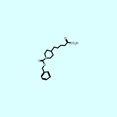 CCOC(=O)C(=O)CCCCC1CCN(C(=O)OCc2ccccc2)CC1